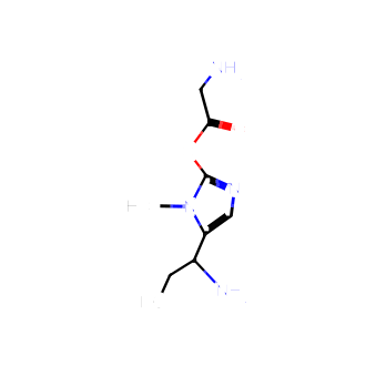 CCC(N)c1cnc(OC(=O)CN)n1C